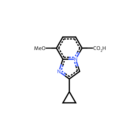 COc1ccc(C(=O)O)n2cc(C3CC3)nc12